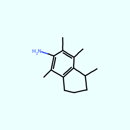 Cc1c(C)c2c(c(C)c1N)CCCC2C